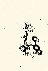 Nc1ncnc2c1nc(Sc1cc3c(cc1-c1ccco1)CCN3)n2CCNCCNS(N)(=O)=O